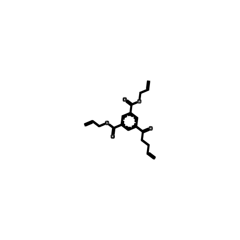 C=CCCC(=O)c1cc(C(=O)OCC=C)cc(C(=O)OCC=C)c1